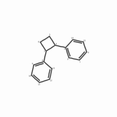 c1ccc(C2CCC2c2ccccc2)cc1